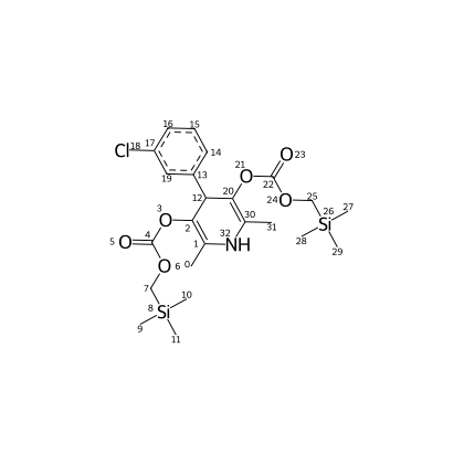 CC1=C(OC(=O)OC[Si](C)(C)C)C(c2cccc(Cl)c2)C(OC(=O)OC[Si](C)(C)C)=C(C)N1